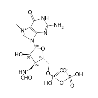 C[n+]1cn([C@@H]2O[C@H](COP(=O)(O)OP(=O)([O-])O)[C@@H](CNC=O)[C@H]2O)c2nc(N)[nH]c(=O)c21